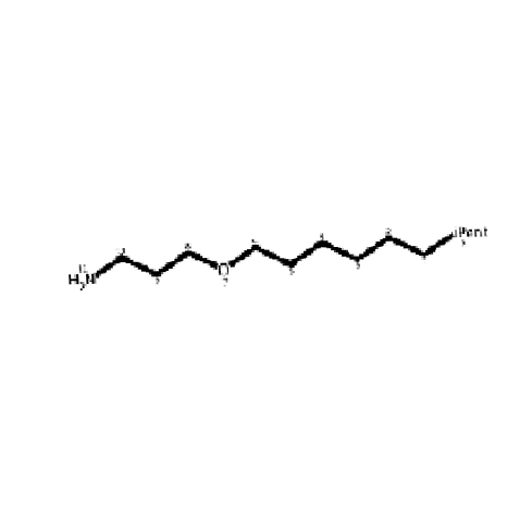 CCCC(C)CCCCCCOCCCN